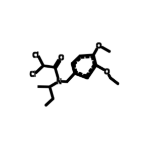 CCOc1cc(CN(C(=O)C(Cl)Cl)C(C)CC)ccc1OC